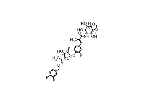 CC(=Cc1ccc(O[C@@H]2O[C@H](C(C)=NOCc3ccc(F)c(F)c3)[C@@H](O)[C@H]2F)c(F)c1)C(=O)N[C@@H]1[C@H](O)[C@@H](O)[C@H]2OCO[C@H]2[C@@H]1O